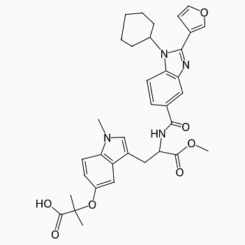 COC(=O)C(Cc1cn(C)c2ccc(OC(C)(C)C(=O)O)cc12)NC(=O)c1ccc2c(c1)nc(-c1ccoc1)n2C1CCCCC1